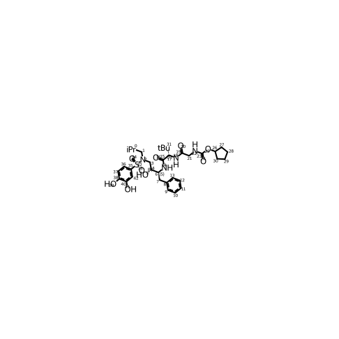 CC(C)CN(C[C@@H](O)[C@H](Cc1ccccc1)NC(=O)[C@@H](NC(=O)CNC(=O)OC1CCCC1)C(C)(C)C)S(=O)(=O)c1ccc(O)c(O)c1